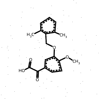 COc1ccc(C(=O)C(=O)O)cc1OCc1c(C)cccc1C